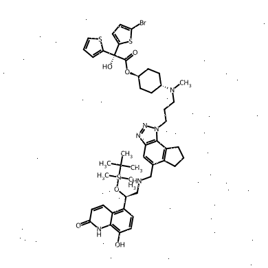 CN(CCCn1nnc2cc(CNC[C@H](O[Si](C)(C)C(C)(C)C)c3ccc(O)c4[nH]c(=O)ccc34)c3c(c21)CCC3)[C@H]1CC[C@H](OC(=O)[C@@](O)(c2cccs2)c2ccc(Br)s2)CC1